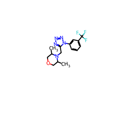 CC1COCC(C)N1Cc1nnnn1-c1cccc(C(F)(F)F)c1